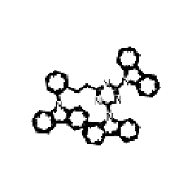 c1ccc(-n2c3ccccc3c3ccccc32)c(CCc2nc(-n3c4ccccc4c4ccccc43)nc(-n3c4ccccc4c4ccccc43)n2)c1